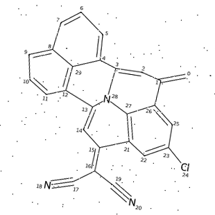 C=c1cc2c3cccc4cccc(c5cc(=C(C#N)C#N)c6cc(Cl)cc1c6N25)c43